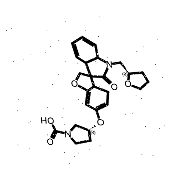 O=C(O)N1CC[C@@H](OC2=CCC3C(=C2)OCC32C(=O)N(C[C@H]3CCCO3)C3C=CC=CC32)C1